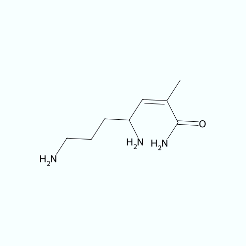 CC(=CC(N)CCCN)C(N)=O